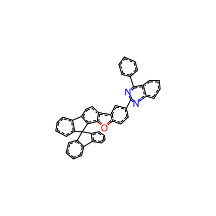 c1ccc(-c2nc(-c3ccc4oc5c6c(ccc5c4c3)-c3ccccc3C63c4ccccc4-c4ccccc43)nc3ccccc23)cc1